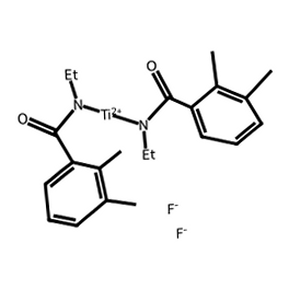 CC[N]([Ti+2][N](CC)C(=O)c1cccc(C)c1C)C(=O)c1cccc(C)c1C.[F-].[F-]